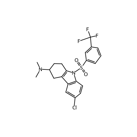 CN(C)C1CCc2c(c3cc(Cl)ccc3n2S(=O)(=O)c2cccc(C(F)(F)F)c2)C1